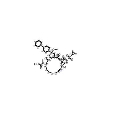 CO[C@@]1(c2ccc(-c3ccccc3)cc2)C[C@H]2C(=O)N[C@]3(C(=O)NS(=O)(=O)C4CC4)C[C@H]3/C=C\CCCCC[C@H](NC(=O)O)C(=O)N2C1